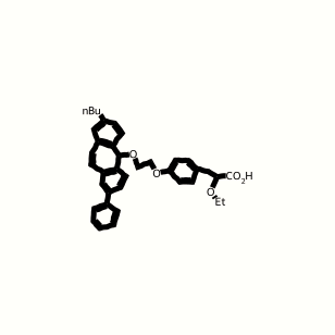 CCCCc1ccc2c(c1)C=Cc1cc(-c3ccccc3)ccc1C2OCCOc1ccc(CC(OCC)C(=O)O)cc1